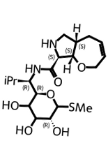 CSC1O[C@H]([C@H](NC(=O)[C@H]2NC[C@@H]3CC=CCO[C@@H]32)C(C)C)C(O)C(O)[C@H]1O